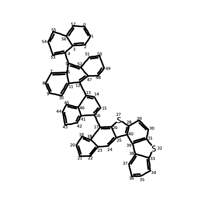 c1ccc2c(-c3c4ccccc4c(-c4ccc(-c5c6ccccc6cc6c5sc5ccc7sc8ccccc8c7c56)c5ccccc45)c4ccccc34)cccc2c1